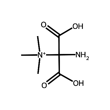 C[N+](C)(C)C(N)(C(=O)O)C(=O)O